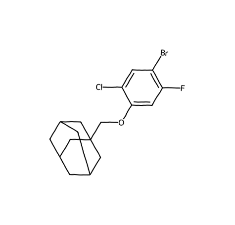 Fc1cc(OCC23CC4CC(CC(C4)C2)C3)c(Cl)cc1Br